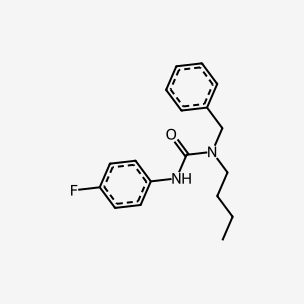 CCCCN(Cc1ccccc1)C(=O)Nc1ccc(F)cc1